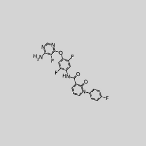 Nc1ncnc(Oc2cc(F)c(NC(=O)c3cccn(-c4ccc(F)cc4)c3=O)cc2F)c1F